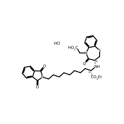 CCOC(=O)[C@H](CCCCCCCCN1C(=O)c2ccccc2C1=O)N[C@H]1CSc2ccccc2N(CC(=O)O)C1=O.Cl